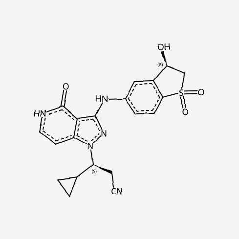 N#CC[C@@H](C1CC1)n1nc(Nc2ccc3c(c2)[C@@H](O)CS3(=O)=O)c2c(=O)[nH]ccc21